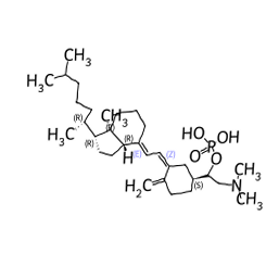 C=C1CC[C@H](C(CN(C)C)OP(=O)(O)O)C/C1=C/C=C1\CCC[C@]2(C)[C@@H]([C@H](C)CCCC(C)C)CC[C@@H]12